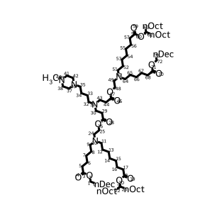 CCCCCCCCCCCOC(=O)CCCCCN(CCCCCCCC(=O)OC(CCCCCCCC)CCCCCCCC)CCOC(=O)CCN(CCCCN1CCN(C)CC1)CCC(=O)OCCN(CCCCCCCC(=O)OC(CCCCCCCC)CCCCCCCC)CCCCCC(=O)OCCCCCCCCCCC